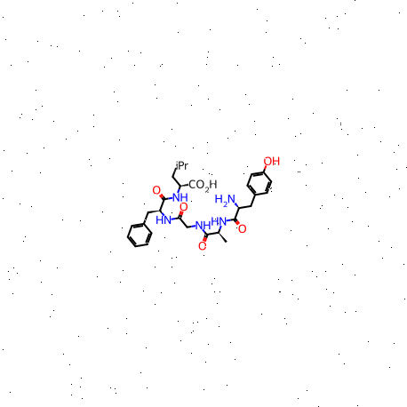 CC(C)C[C@H](NC(=O)[C@H](Cc1ccccc1)NC(=O)CNC(=O)[C@H](C)NC(=O)[C@@H](N)Cc1ccc(O)cc1)C(=O)O